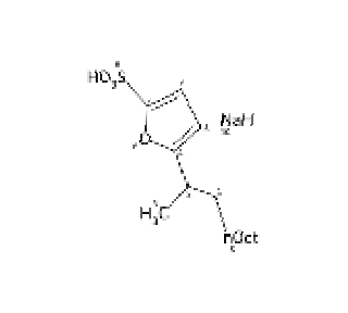 CCCCCCCCCC(C)c1ccc(S(=O)(=O)O)o1.[NaH]